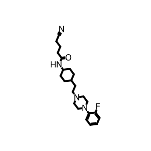 N#CCCCC(=O)NC1CCC(CCN2CCN(c3ccccc3F)CC2)CC1